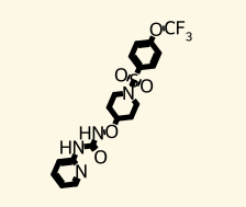 O=C(NOC1CCN(S(=O)(=O)c2ccc(OC(F)(F)F)cc2)CC1)Nc1ccccn1